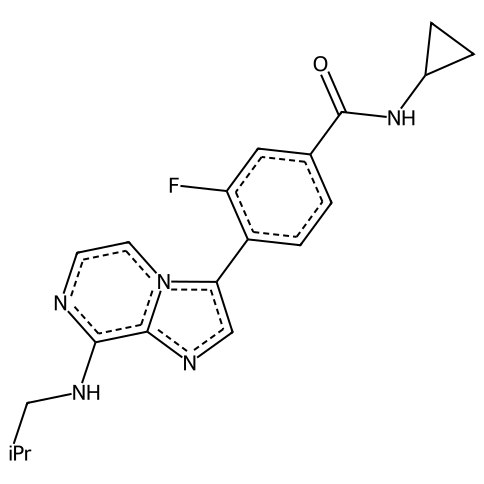 CC(C)CNc1nccn2c(-c3ccc(C(=O)NC4CC4)cc3F)cnc12